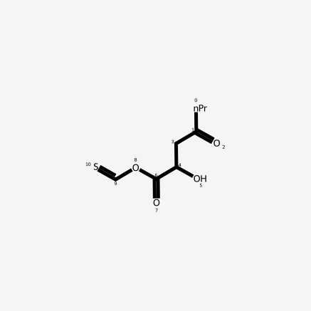 CCCC(=O)CC(O)C(=O)OC=S